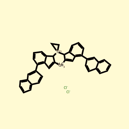 CC1=Cc2c(-c3ccc4ccccc4c3)cccc2[CH]1[Ti+2]1([CH]2C(C)=Cc3c(-c4ccc5ccccc5c4)cccc32)[CH2][CH2]1.[Cl-].[Cl-]